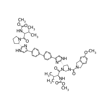 COC(=O)NC(C(=O)N1CCC[C@H]1c1nc(-c2ccc(-c3ccc(-c4c[nH]c([C@@H]5CN(C(=O)N6Cc7ccc(OC)cc7C6)CN5C(=O)[C@@H](NC(=O)OC)C(C)C)n4)cc3)cc2)c[nH]1)C(C)C